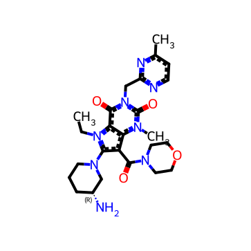 CCn1c(N2CCC[C@@H](N)C2)c(C(=O)N2CCOCC2)c2c1c(=O)n(Cc1nccc(C)n1)c(=O)n2C